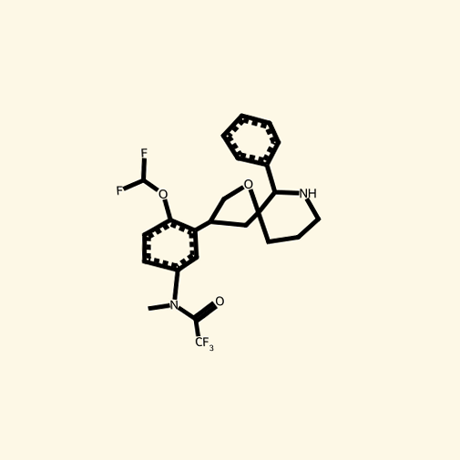 CN(C(=O)C(F)(F)F)c1ccc(OC(F)F)c(C2COC3(CCCNC3c3ccccc3)C2)c1